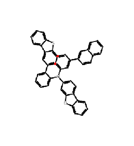 c1cc(-c2ccc3ccccc3c2)cc(N(c2ccc3c(c2)oc2ccccc23)c2ccccc2-c2ccc3sc4ccccc4c3c2)c1